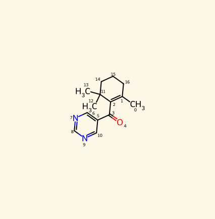 CC1=C(C(=O)c2cncnc2)C(C)(C)CCC1